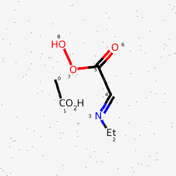 CC(=O)O.CCN=CC(=O)OO